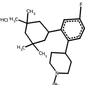 CCCCN1CCC(c2ccc(F)cc2C2CC(C)(C)CC(C)(C)C2)CC1.Cl